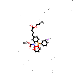 C=CCOC(=O)CCCC1CCC(P(C2CCCCC2)C2CCCCC2)C(N(C(=O)OC(C)(C)C)C(=O)OC(C)(C)C)C1.I